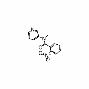 CN(C(=O)c1ccccc1[N+](=O)[O-])c1cccnc1